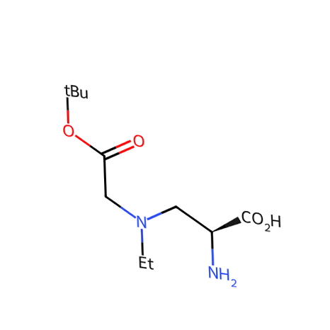 CCN(CC(=O)OC(C)(C)C)C[C@H](N)C(=O)O